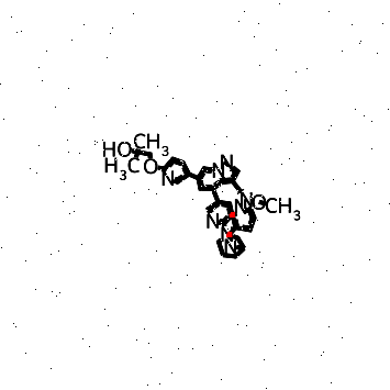 COc1ccc(CN2C3CC2CN(c2ccc(-c4cc(-c5ccc(OCC(C)(C)O)nc5)cn5ncc(C#N)c45)cn2)C3)cn1